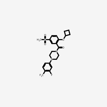 CS(=O)(=O)c1ccc(OC2CCC2)c(C(=O)N2CCN(c3ccc(C(F)(F)F)c(F)c3)CC2)c1